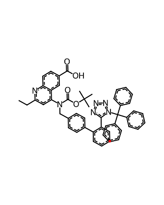 CCc1cc(N(Cc2ccc(-c3ccccc3-c3nnnn3C(c3ccccc3)(c3ccccc3)c3ccccc3)cc2)C(=O)OC(C)(C)C)c2cc(C(=O)O)ccc2n1